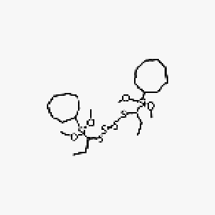 CCC(SSSSC(CC)[Si](OC)(OC)C1CCCCCCC1)[Si](OC)(OC)C1CCCCCCC1